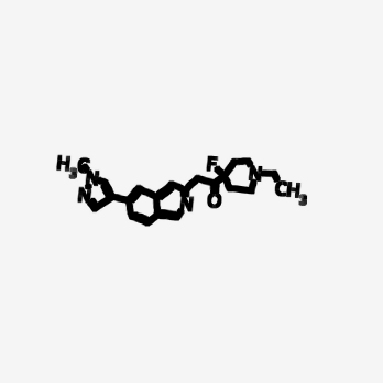 CCN1CCC(F)(C(=O)Cc2cc3cc(-c4cnn(C)c4)ccc3cn2)CC1